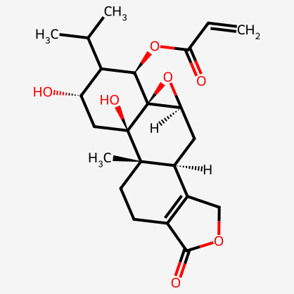 C=CC(=O)O[C@@H]1C(C(C)C)[C@@H](O)C[C@]2(O)[C@]13O[C@H]3C[C@H]1C3=C(CC[C@@]12C)C(=O)OC3